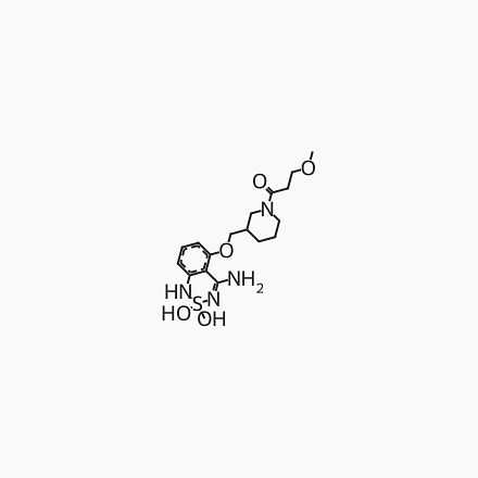 COCCC(=O)N1CCCC(COc2cccc3c2C(N)=NS(O)(O)N3)C1